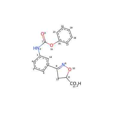 O=C(Nc1cccc(C2=NOC(C(=O)O)C2)c1)Oc1ccccc1